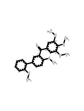 COc1ccc(-c2ccccc2OC)cc1C(=O)c1cc(OC)c(OC)c(OC)c1